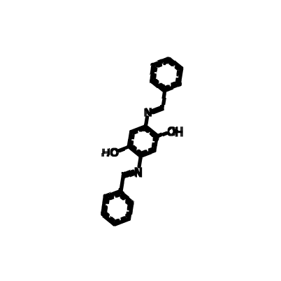 Oc1cc(N=Cc2ccccc2)c(O)cc1N=Cc1ccccc1